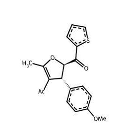 COc1ccc([C@@H]2C(C(C)=O)=C(C)O[C@H]2C(=O)c2cccs2)cc1